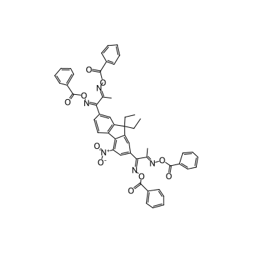 CCC1(CC)c2cc(C(=N/OC(=O)c3ccccc3)/C(C)=N/OC(=O)c3ccccc3)ccc2-c2c([N+](=O)[O-])cc(C(=N/OC(=O)c3ccccc3)/C(C)=N/OC(=O)c3ccccc3)cc21